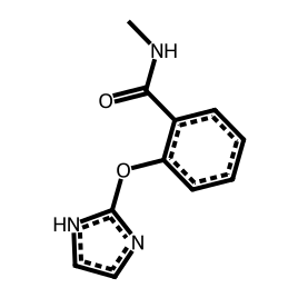 CNC(=O)c1ccccc1Oc1ncc[nH]1